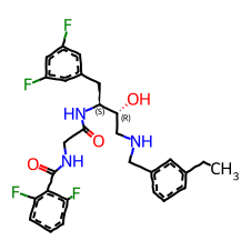 CCc1cccc(CNC[C@@H](O)[C@H](Cc2cc(F)cc(F)c2)NC(=O)CNC(=O)c2c(F)cccc2F)c1